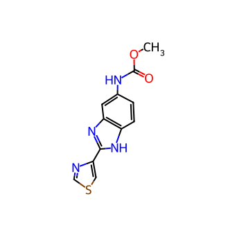 COC(=O)Nc1ccc2[nH]c(-c3cscn3)nc2c1